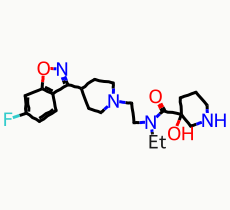 CCN(CCN1CCC(c2noc3cc(F)ccc23)CC1)C(=O)C1(O)CCCNC1